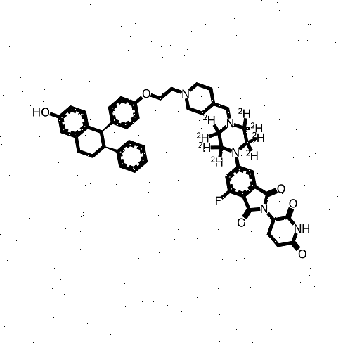 [2H]C1([2H])N(CC2CCN(CCOc3ccc([C@@H]4c5ccc(O)cc5CC[C@@H]4c4ccccc4)cc3)CC2)C([2H])([2H])C([2H])([2H])N(c2cc(F)c3c(c2)C(=O)N(C2CCC(=O)NC2=O)C3=O)C1([2H])[2H]